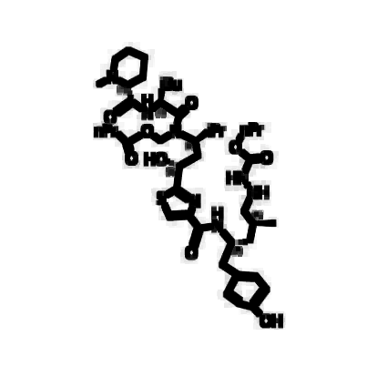 CCCOC(=O)NNC[C@@H](C)C[C@H](Cc1ccc(O)cc1)NC(=O)c1csc([C@H](O)C[C@H](C(C)C)N(COC(=O)CCC)C(=O)[C@@H](NC(=O)[C@H]2CCCCN2C)C(C)CC)n1